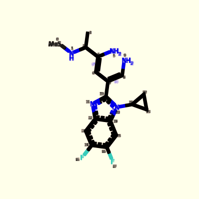 CSNC(C)/C(N)=C/C(=C\N)c1nc2cc(F)c(F)cc2n1C1CC1